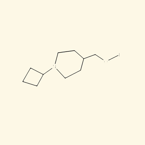 IOCC1CCN(C2CCC2)CC1